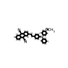 COc1ccc(N(c2ccccc2)c2ccc(C=Cc3ccc4c(C#N)c5ccccc5c(C#N)c4c3)cc2)cc1